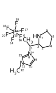 CC(C1CCCCN1)[n+]1ccn(C)c1.F[P-](F)(F)(F)(F)F